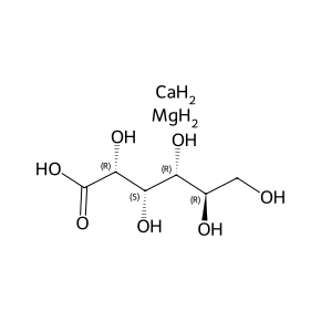 O=C(O)[C@H](O)[C@@H](O)[C@H](O)[C@H](O)CO.[CaH2].[MgH2]